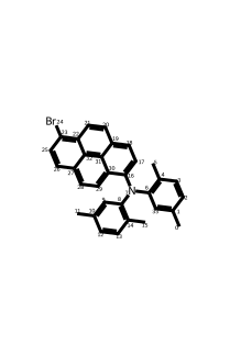 Cc1ccc(C)c(N(c2cc(C)ccc2C)c2ccc3ccc4c(Br)ccc5ccc2c3c54)c1